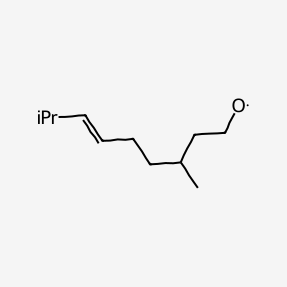 CC(C)C=CCCC(C)CC[O]